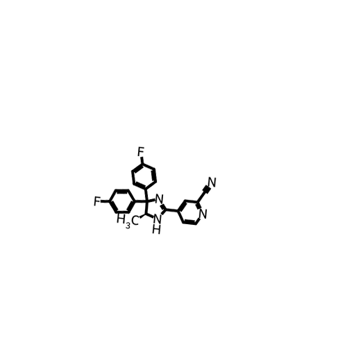 C[C@@H]1NC(c2ccnc(C#N)c2)=NC1(c1ccc(F)cc1)c1ccc(F)cc1